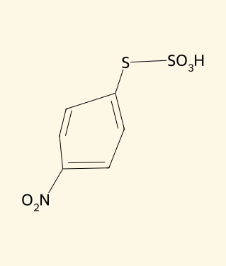 O=[N+]([O-])c1ccc(SS(=O)(=O)O)cc1